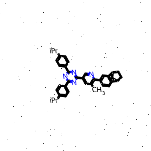 Cc1cc(-c2nc(-c3ccc(C(C)C)cc3)nc(-c3ccc(C(C)C)cc3)n2)cnc1-c1ccc2c(c1)C1CCC2C1